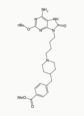 CCCCOc1nc(N)c2[nH]c(=O)n(CCCCN3CCC(Cc4ccc(C(=O)OC)cc4)CC3)c2n1